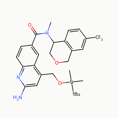 CN(C(=O)c1ccc2nc(N)cc(CO[Si](C)(C)C(C)(C)C)c2c1)C1COCc2cc(C(F)(F)F)ccc21